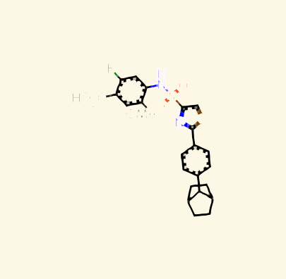 COc1cc(C(=O)O)c(F)cc1NS(=O)(=O)c1csc(-c2ccc(C3C4CCC3CC4)cc2)n1